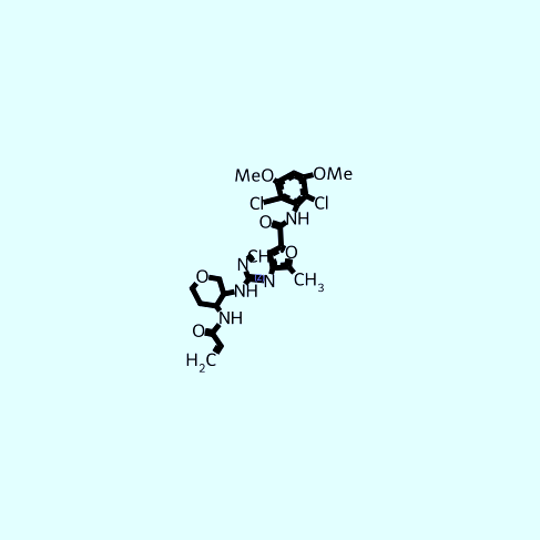 C=CC(=O)NC1CCOCC1N/C(N=C)=N/c1cc(C(=O)Nc2c(Cl)c(OC)cc(OC)c2Cl)oc1C